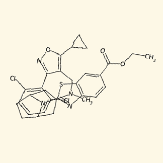 CCOC(=O)c1ccc2nc(N3C4CCC3CC(N(C)Cc3c(-c5c(Cl)cccc5Cl)noc3C3CC3)C4)sc2c1